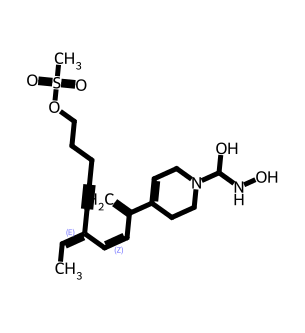 C=C(/C=C\C(C#CCCCOS(C)(=O)=O)=C/C)C1=CCN(C(O)NO)CC1